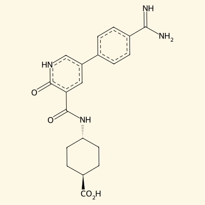 N=C(N)c1ccc(-c2c[nH]c(=O)c(C(=O)N[C@H]3CC[C@H](C(=O)O)CC3)c2)cc1